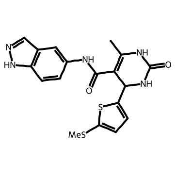 CSc1ccc(C2NC(=O)NC(C)=C2C(=O)Nc2ccc3[nH]ncc3c2)s1